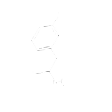 NC(Cl)Cc1cccc(Cl)c1